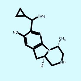 COC(c1nc2c(cc1O)C[C@@H]1CNC[C@@H](C)N21)C1CC1